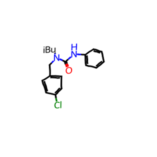 CCC(C)N(Cc1ccc(Cl)cc1)C(=O)Nc1ccccc1